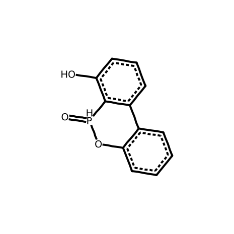 O=[PH]1Oc2ccccc2-c2cccc(O)c21